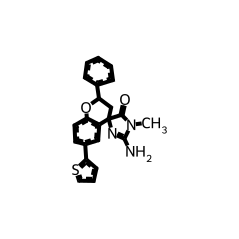 CN1C(=O)C2(CC(c3ccccc3)Oc3ccc(-c4cccs4)cc32)N=C1N